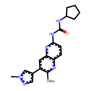 COc1nc2ccc(NC(=O)NC3CCCC3)nc2cc1-c1cnn(C)c1